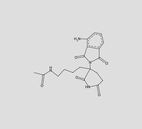 CC(=O)NCCCCC1(N2C(=O)c3cccc(N)c3C2=O)CCC(=O)NC1=O